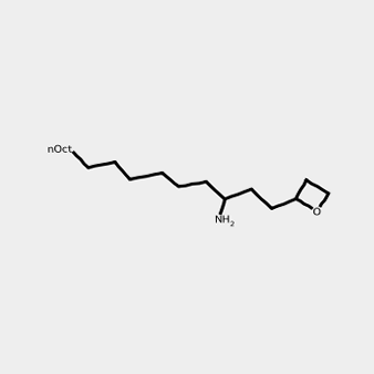 CCCCCCCCCCCCCCC(N)CCC1CCO1